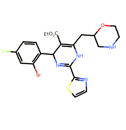 CCOC(=O)C1=C(CC2CNCCO2)NC(c2nccs2)=NC1c1ccc(F)cc1Br